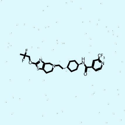 CC(F)(F)COc1nc2c(s1)CCN(CC[C@H]1CC[C@H](NC(=O)c3ccnc(C(F)(F)F)c3)CC1)C2